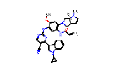 C=CC(=O)Nc1cc(Nc2ncc(C#N)c(-c3cn(C4CC4)c4ccccc34)n2)c(OC)cc1N1CC2CCN(C)[C@@H]2C1